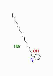 Br.CCCCCCCCCCCCCCCCC(O)CC1(N(C)C)CCCCC1